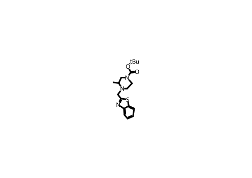 CC1CN(C(=O)OC(C)(C)C)CCN1Cc1nc2ccccc2s1